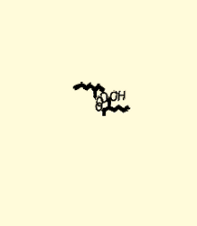 CCCCC(CC)COOC(C)C(CCCC)C(=O)O